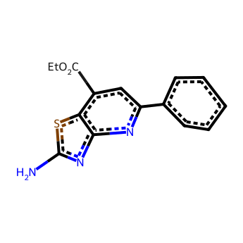 CCOC(=O)c1cc(-c2ccccc2)nc2nc(N)sc12